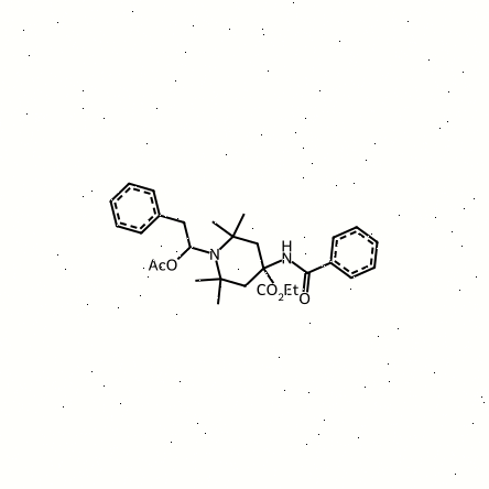 CCOC(=O)C1(NC(=O)c2ccccc2)CC(C)(C)N(C(Cc2ccccc2)OC(C)=O)C(C)(C)C1